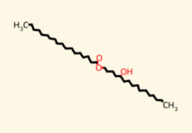 CCCCCCCCCCCCCCCCCC(=O)OCCCCC(O)CCCCCCCCCCC